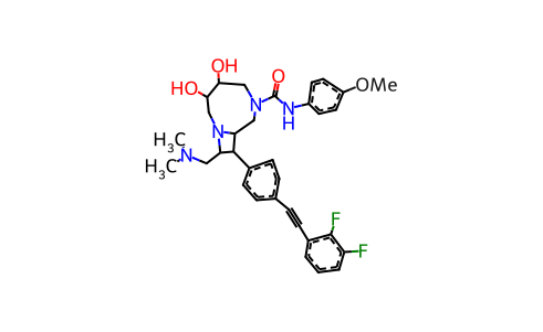 COc1ccc(NC(=O)N2CC(O)C(O)CN3C(CN(C)C)C(c4ccc(C#Cc5cccc(F)c5F)cc4)C3C2)cc1